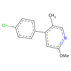 COc1cc(-c2ccc(Cl)cc2)c(C)cn1